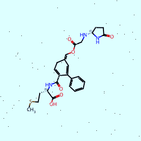 CSCC[C@H](NC(=O)C1=CCC(=COC(=O)CN[C@@H]2CCC(=O)N2)C=C1c1ccccc1)C(=O)O